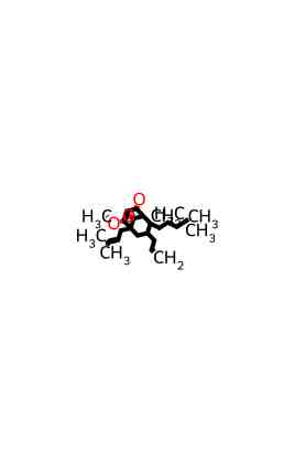 C=CCC1CC2(CC=C(C)C)C(=O)C(C(=O)C=C2OC)C1(C)CCCC(C)(C)C